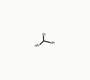 C[CH]C(CCC)CCC